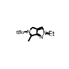 CCn1cc2c(n1)C(C)N(C(C)(C)C)C2